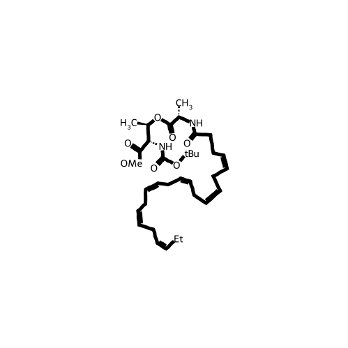 CC/C=C\C/C=C\C/C=C\C/C=C\C/C=C\C/C=C\CCC(=O)N[C@@H](C)C(=O)O[C@H](C)[C@H](NC(=O)OC(C)(C)C)C(=O)OC